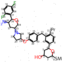 CSC1CC(O)CC(c2ccc(C(C)C)c(Cc3ccc(OC4CCN(C5COC(c6cc(F)ccc6F)C(N)C5)C4)cc3)c2)O1